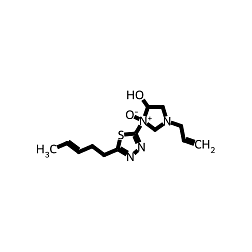 C=CCN1CC(O)[N+]([O-])(c2nnc(CCC=CC)s2)C1